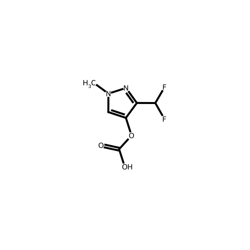 Cn1cc(OC(=O)O)c(C(F)F)n1